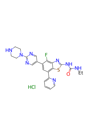 CCNC(=O)Nc1nc2c(F)c(-c3cnc(N4CCNCC4)nc3)cc(-c3ccccn3)c2s1.Cl